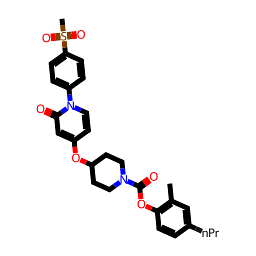 CCCc1ccc(OC(=O)N2CCC(Oc3ccn(-c4ccc(S(C)(=O)=O)cc4)c(=O)c3)CC2)c(C)c1